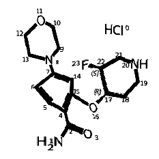 Cl.NC(=O)c1ccc(N2CCOCC2)cc1O[C@@H]1CCNC[C@@H]1F